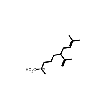 C=C(C)C(CC=C(C)C)CCC[C@@H](C)C(=O)O